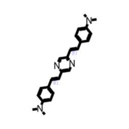 CN(C)c1ccc(/C=C/c2cnc(/C=C/c3ccc(N(C)C)cc3)cn2)cc1